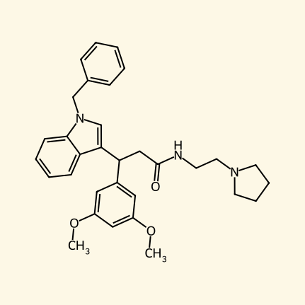 COc1cc(OC)cc(C(CC(=O)NCCN2CCCC2)c2cn(Cc3ccccc3)c3ccccc23)c1